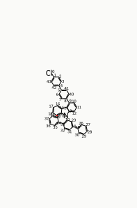 Clc1ccc(-c2ccc(-c3cccc4c3c3ccccc3n4-c3cc(-c4ccccc4)ccc3-c3ccccc3)cc2)cc1